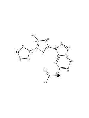 CC(=O)Nc1cc2c(ccn2-c2nc(C3CCOC3)c(C)s2)cn1